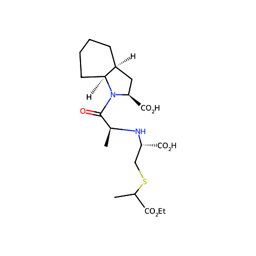 CCOC(=O)C(C)SC[C@H](N[C@@H](C)C(=O)N1[C@H](C(=O)O)C[C@@H]2CCCC[C@@H]21)C(=O)O